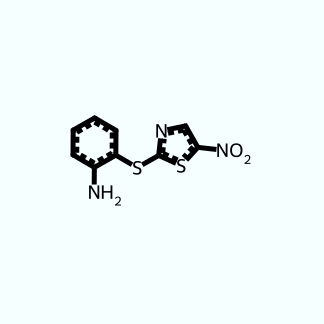 Nc1ccccc1Sc1ncc([N+](=O)[O-])s1